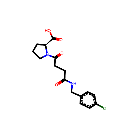 O=C(CCC(=O)N1CCC[C@H]1C(=O)O)NCc1ccc(Cl)cc1